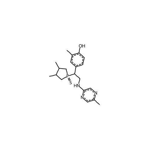 Cc1cnc(NCC(c2ccc(O)c(C)c2)P2(=S)CC(C)C(C)C2)cn1